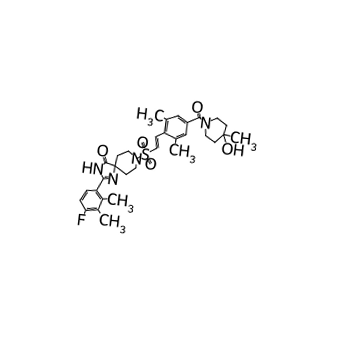 Cc1cc(C(=O)N2CCC(C)(O)CC2)cc(C)c1C=CS(=O)(=O)N1CCC2(CC1)N=C(c1ccc(F)c(C)c1C)NC2=O